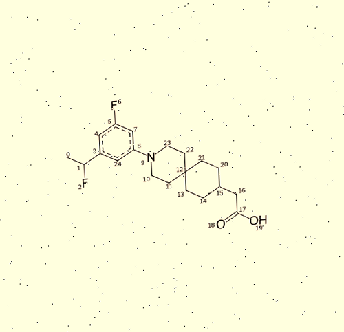 CC(F)c1cc(F)cc(N2CCC3(CCC(CC(=O)O)CC3)CC2)c1